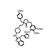 COc1ccc(CC2(CCN3CCC(Nc4nc5ccccc5n4Cc4ccoc4)CC3)CCN(Cc3cc(OC)c(OC)c(OC)c3)C2=O)cc1